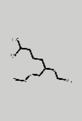 CCSC(CCCC(C)N)C[O][Sn][Cl]